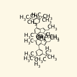 CCC1=Cc2c(-c3cc(C(C)(C)C)cc(C(C)(C)C)c3)cc(C)c(C)c2[CH]1[Zr]([Cl])([Cl])([CH2]C)[CH]1C(CC)=Cc2c(-c3cc(C(C)(C)C)cc(C(C)(C)C)c3)cc(C)c(C)c21